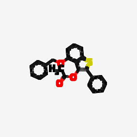 CC(=O)Oc1c(-c2ccccc2)sc2cccc(OCc3ccccc3)c12